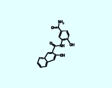 NC(=O)c1ccc(O)c(NC(=O)c2cc3ccccc3cc2O)c1